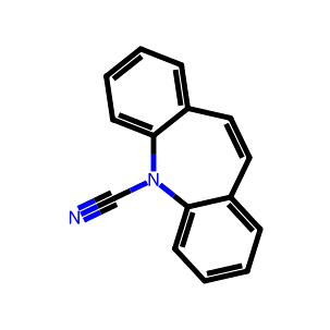 N#CN1c2ccccc2C=Cc2ccccc21